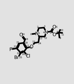 CN1CCN(C(=O)OC(C)(C)C)CC1CCOc1c(C=O)cc(F)c(Br)c1Cl